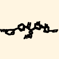 Cl.O=C(Nc1ccc(C2CNCCO2)cc1)c1cnn(-c2ncc(Cl)cn2)c1